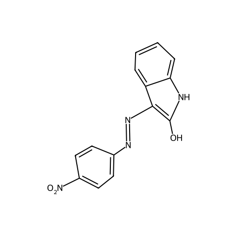 O=[N+]([O-])c1ccc(N=Nc2c(O)[nH]c3ccccc23)cc1